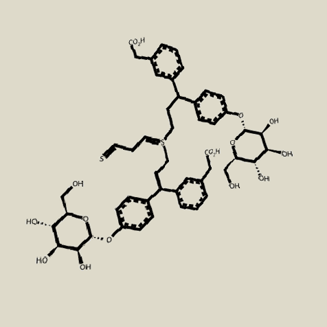 O=C(O)Cc1cccc(C(CCS(=CCC=S)CCC(c2ccc(O[C@H]3O[C@H](CO)[C@@H](O)[C@H](O)[C@@H]3O)cc2)c2cccc(CC(=O)O)c2)c2ccc(O[C@H]3O[C@H](CO)[C@@H](O)[C@H](O)[C@@H]3O)cc2)c1